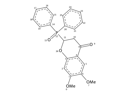 COc1cc2c(cc1OC)C(=O)CC(P(=O)(c1ccccc1)c1ccccc1)O2